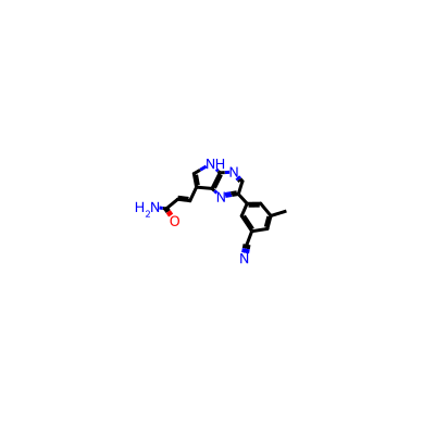 Cc1cc(C#N)cc(-c2cnc3[nH]cc(/C=C/C(N)=O)c3n2)c1